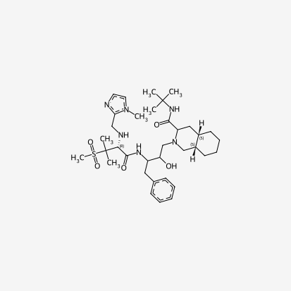 Cn1ccnc1CN[C@H](C(=O)NC(Cc1ccccc1)C(O)CN1C[C@H]2CCCC[C@H]2CC1C(=O)NC(C)(C)C)C(C)(C)S(C)(=O)=O